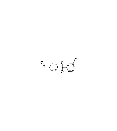 O=Cc1ccc(S(=O)(=O)c2cccc(Cl)c2)cc1